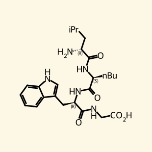 CCCC[C@H](NC(=O)[C@H](N)CC(C)C)C(=O)N[C@H](Cc1c[nH]c2ccccc12)C(=O)NCC(=O)O